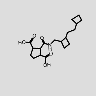 O=C(O)C1CCC(C(=O)O)C1C(=O)NCC1CCC1CCC1CCC1